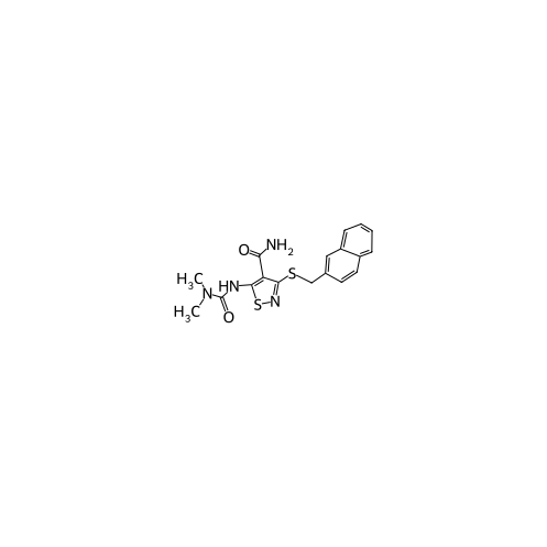 CN(C)C(=O)Nc1snc(SCc2ccc3ccccc3c2)c1C(N)=O